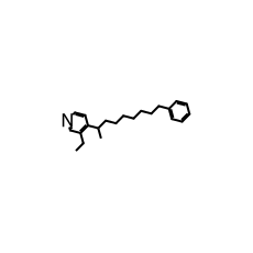 CCc1cnccc1C(C)CCCCCCCc1ccccc1